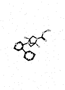 CC(C)(C)OC(=O)N1C[C@@H]2C[C@H]1CN2c1cnccc1-c1ccccc1